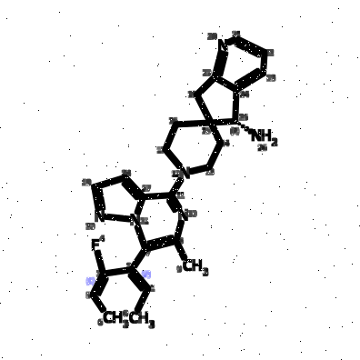 C/C=C(\C(F)=C/C)c1c(C)nc(N2CCC3(CC2)Cc2ncccc2[C@@H]3N)c2ccnn12